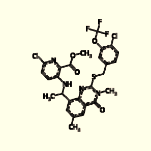 COC(=O)c1nc(Cl)ccc1NC(C)c1cc(C)cc2c(=O)n(C)c(SCc3ccc(Cl)c(OC(F)(F)F)c3)nc12